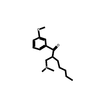 CCCCCC(CN(C)C)C(=O)c1cccc(OC)c1